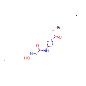 CC(C)(C)OC(=O)N1CC(NC(=O)C=NO)C1